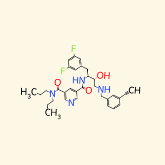 C#Cc1cccc(CNC[C@@H](O)[C@H](Cc2cc(F)cc(F)c2)NC(=O)c2cncc(C(=O)N(CCC)CCC)c2)c1